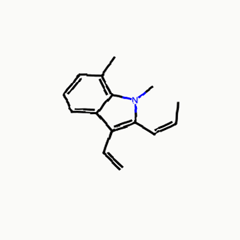 C=Cc1c(/C=C\C)n(C)c2c(C)cccc12